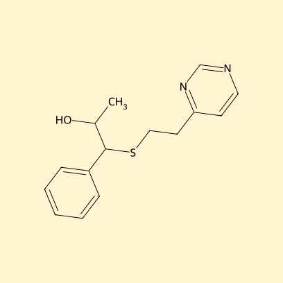 CC(O)C(SCCc1ccncn1)c1ccccc1